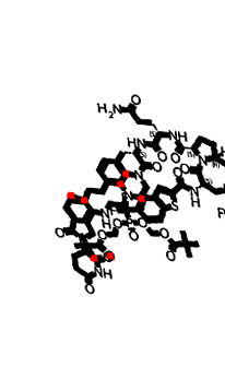 CCCCc1ccc(C[C@H](NC(=O)[C@H](CCC(N)=O)NC(=O)[C@@H]2CC[C@@H]3CCN(CC(F)F)C[C@H](NC(=O)c4cc5cc(C(F)(F)P(=O)(OCOC(=O)C(C)(C)C)OCOC(=O)C(C)(C)C)ccc5s4)C(=O)N32)C(=O)N2CCN(CCNc3cccc4c3CN(C3CCC(=O)NC3=O)C4=O)CC2)cc1